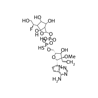 C=C[C@@]1(OC)[C@H](O)[C@@H](COP(=O)(S)OP(=O)(O)OC2OC3(O)C2C(O)C(O)C3[C@@H](F)CO)O[C@H]1c1ccc2c(N)ncnn12